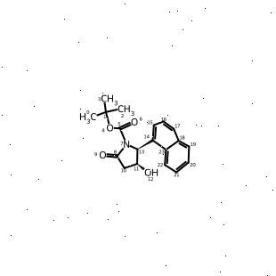 CC(C)(C)OC(=O)N1C(=O)C[C@H](O)[C@@H]1c1cccc2ccccc12